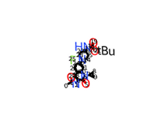 Cc1nc2c(=O)n(C3CC3)c3cc(N4CCC(NC(=O)OC(C)(C)C)CC4)c(F)cc3c2o1